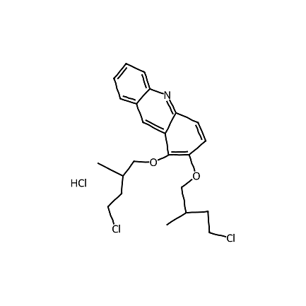 CC(CCCl)COc1ccc2nc3ccccc3cc2c1OCC(C)CCCl.Cl